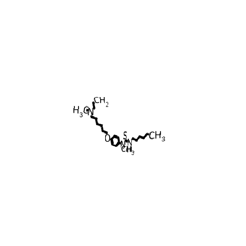 C=CCN(C)CCCCCCOc1ccc(N(C)C(=S)NCCCCCC)cc1